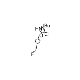 CC(C)(C)N1C=C(Cl)C(OCc2ccc(C#CCCF)cc2)=CN1